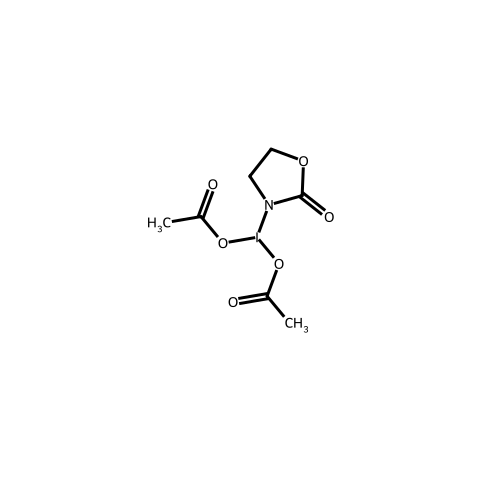 CC(=O)OI(OC(C)=O)N1CCOC1=O